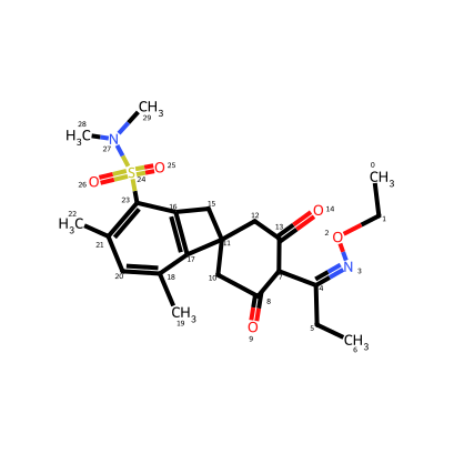 CCO/N=C(/CC)C1C(=O)CC2(CC1=O)Cc1c2c(C)cc(C)c1S(=O)(=O)N(C)C